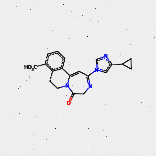 O=C(O)c1cccc2c1CCN1C(=O)CN=C(n3cnc(C4CC4)c3)C=C21